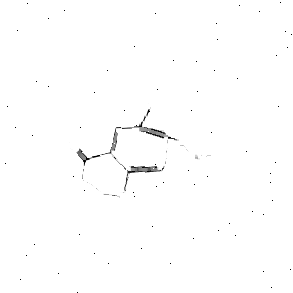 COSc1cc2c(cc1Cl)C(=O)CCO2